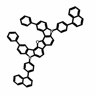 c1ccc(-c2ccc3c(c2)c2c4oc5c(ccc6c5c5cc(-c7ccccc7)ccc5n6-c5ccc(-c6cccc7ccccc67)cc5)c4ccc2n3-c2ccc(-c3cccc4ccccc34)cc2)cc1